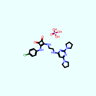 O=P(O)(O)O.O=c1c(NCCNc2cc(N3CCCC3)nc(N3CCCC3)n2)c(Nc2ccc(Cl)cc2)c1=O